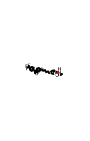 CC(C)NC(=O)CN1CCN(CCCCCOc2ccc3c(-c4ccc(C(F)(F)F)cc4)coc3c2)CC1